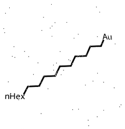 CCCCCCCCCCCCCCC[CH2][Au]